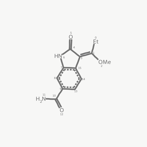 CCC(OC)=C1C(=O)Nc2cc(C(N)=O)ccc21